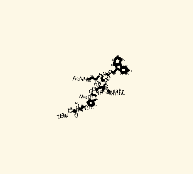 COC(=O)[C@H](Cc1ccc(OCCNC(=O)OC(C)(C)C)cc1)NC(=O)[C@@H](NC(=O)[C@H](CCCCNC(C)=O)NC(=O)OCC1c2ccccc2-c2ccccc21)C(C)(C)SCNC(C)=O